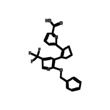 O=C(O)c1cccc(C2=C(c3cc(C(F)(F)F)cnc3OCc3ccccc3)CCC2)n1